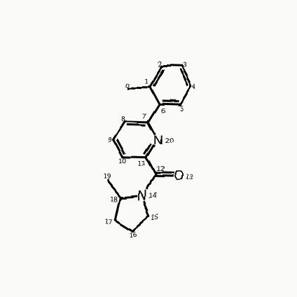 Cc1ccccc1-c1cccc(C(=O)N2CCCC2C)n1